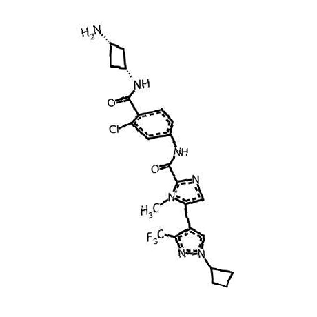 Cn1c(-c2cn(C3CCC3)nc2C(F)(F)F)cnc1C(=O)Nc1ccc(C(=O)N[C@H]2C[C@@H](N)C2)c(Cl)c1